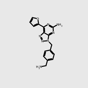 NCc1ccc(Cn2nnc3c(-c4ccco4)nc(N)nc32)cc1